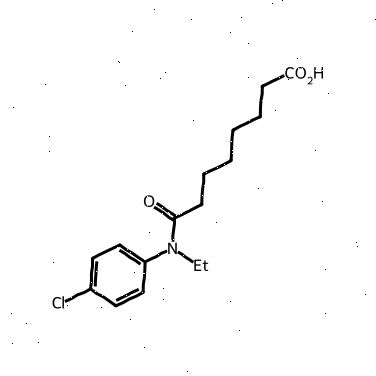 CCN(C(=O)CCCCCCC(=O)O)c1ccc(Cl)cc1